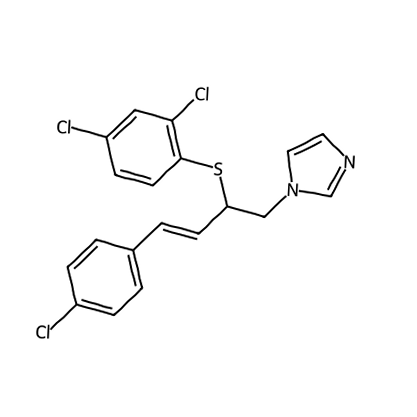 Clc1ccc(C=CC(Cn2ccnc2)Sc2ccc(Cl)cc2Cl)cc1